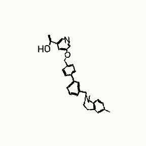 C=C(O)c1cncc(OCc2ccc(-c3cccc(CN4CCc5cc(C)ccc54)c3)cc2)c1